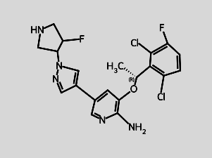 C[C@@H](Oc1cc(-c2cnn(C3CNCC3F)c2)cnc1N)c1c(Cl)ccc(F)c1Cl